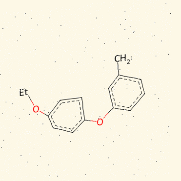 [CH2]c1cccc(Oc2ccc(OCC)cc2)c1